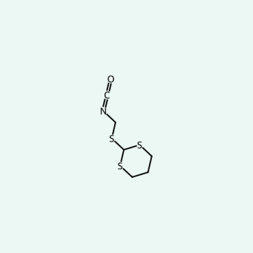 O=C=NCSC1SCCCS1